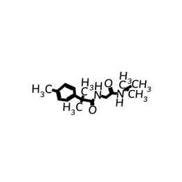 Cc1ccc(C(C)(C)C(=O)NCC(=O)NC(C)(C)C)cc1